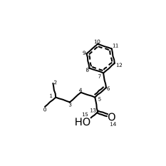 CC(C)CC/C(=C\c1ccccc1)C(=O)O